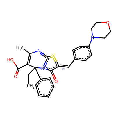 CCC1(c2ccccc2)C(C(=O)O)=C(C)N=c2s/c(=C\c3ccc(N4CCOCC4)cc3)c(=O)n21